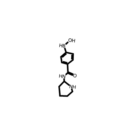 O=C(NC1CCCCN1)c1ccc(BO)cc1